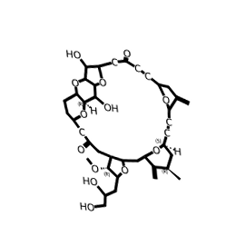 C=C1CC2CCC(=O)CC3OC4C(OC5CCC(CC(=O)CC6C(CC7O[C@@H](CCC1O2)C[C@@H](C)C7=C)OC(CC(O)CO)[C@@H]6OC)O[C@@H]5C4O)C3O